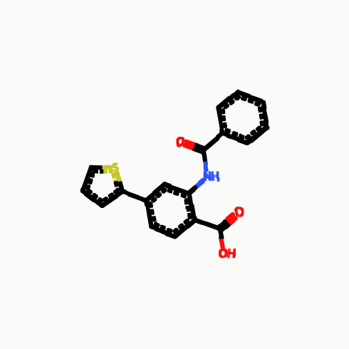 O=C(Nc1cc(-c2cccs2)ccc1C(=O)O)c1ccccc1